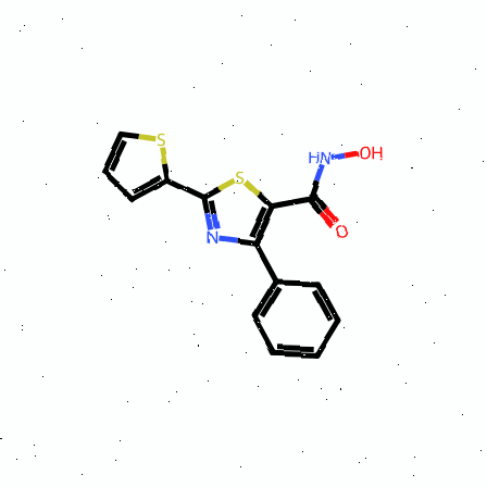 O=C(NO)c1sc(-c2cccs2)nc1-c1ccccc1